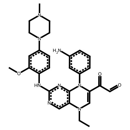 CCN1C=C(C(=O)C=O)N(c2cccc(N)c2)c2nc(Nc3ccc(N4CCN(C)CC4)cc3OC)ncc21